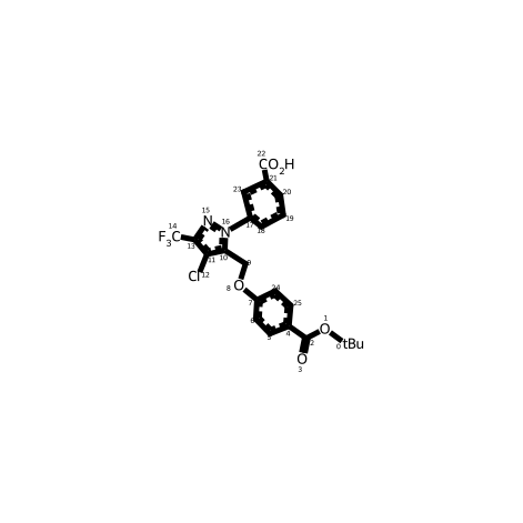 CC(C)(C)OC(=O)c1ccc(OCc2c(Cl)c(C(F)(F)F)nn2-c2cccc(C(=O)O)c2)cc1